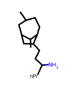 CCCC(N)CCC1CC2CC(C)CCC1C2C